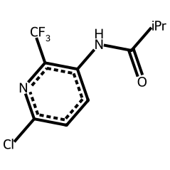 CC(C)C(=O)Nc1ccc(Cl)nc1C(F)(F)F